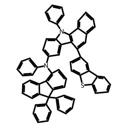 c1ccc(N(c2ccc3c(c2)c2c(-c4ccc5sc6ccccc6c5c4)cc4ccccc4c2n3-c2ccccc2)c2cccc3c2-c2ccccc2C3(c2ccccc2)c2ccccc2)cc1